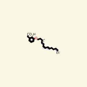 CC/C=C\CC/C=C/C=C\C=C\[C@@H](C)CCOc1cccc(CC(=O)O)c1